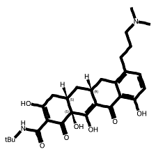 CN(C)CCCc1ccc(O)c2c1C[C@H]1C[C@H]3CC(O)=C(C(=O)NC(C)(C)C)C(=O)[C@@]3(O)C(O)=C1C2=O